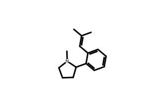 CC(C)=Cc1ccccc1C1CCCN1C